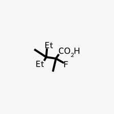 CCC(C)(CC)C(C)(F)C(=O)O